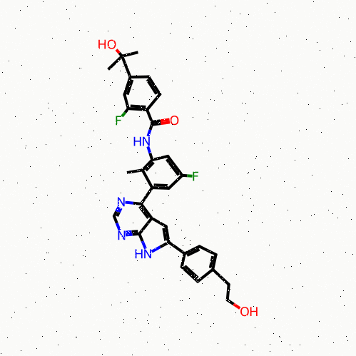 Cc1c(NC(=O)c2ccc(C(C)(C)O)cc2F)cc(F)cc1-c1ncnc2[nH]c(-c3ccc(CCO)cc3)cc12